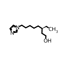 CC[C@@H](CCO)CCCCCn1ccnc1